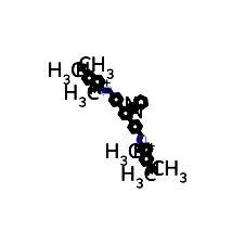 CN(C)c1ccc2c(ccc(/C=C/c3ccc(-c4ccc(-c5ccc(/C=C/c6ccc7cc(N(C)C)ccc7[n+]6C)cc5)c5c4=NC4(CCCCC4)N=5)cc3)[n+]2C)c1